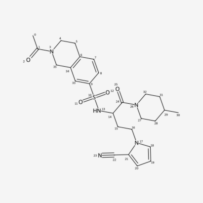 CC(=O)N1CCc2ccc(S(=O)(=O)NC(CCn3cccc3C#N)C(=O)N3CCC(C)CC3)cc2C1